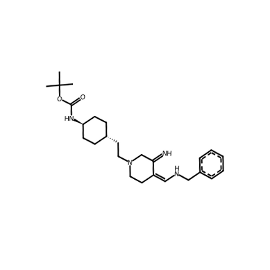 CC(C)(C)OC(=O)N[C@H]1CC[C@H](CCN2CC/C(=C/NCc3ccccc3)C(=N)C2)CC1